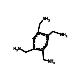 NCc1[c]c(CN)c(CN)cc1CN